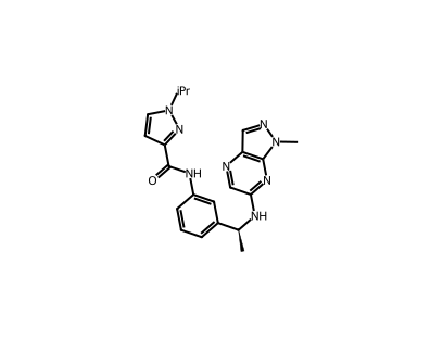 CC(C)n1ccc(C(=O)Nc2cccc([C@H](C)Nc3cnc4cnn(C)c4n3)c2)n1